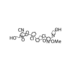 COc1nc(O[C@H]2CCc3c(-c4cccc(-c5cc6c(=O)n(CCO)cc(C#N)c6o5)c4Cl)cccc32)c(Cl)cc1CN1CC[C@@H](O)C1